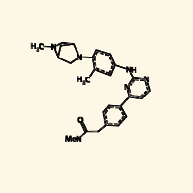 CNC(=O)Cc1ccc(-c2ccnc(Nc3ccc(N4CC5CC4CN5C)c(C)c3)n2)cc1